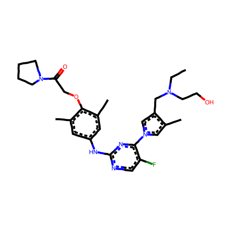 CCN(CCO)Cc1cn(-c2nc(Nc3cc(C)c(OCC(=O)N4CCCC4)c(C)c3)ncc2F)cc1C